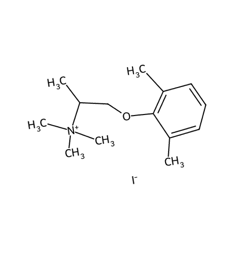 Cc1cccc(C)c1OCC(C)[N+](C)(C)C.[I-]